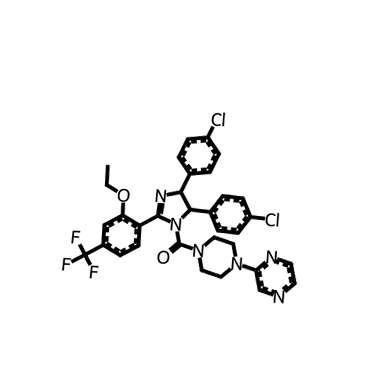 CCOc1cc(C(F)(F)F)ccc1C1=NC(c2ccc(Cl)cc2)C(c2ccc(Cl)cc2)N1C(=O)N1CCN(c2cnccn2)CC1